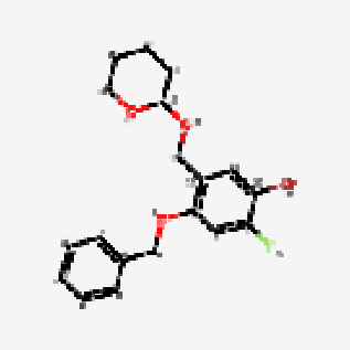 Fc1cc(OCc2ccccc2)c(COC2CCCCO2)cc1Br